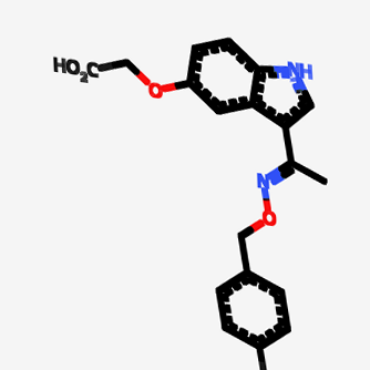 CC(=NOCc1ccc(C(F)(F)F)cc1)c1c[nH]c2ccc(OCC(=O)O)cc12